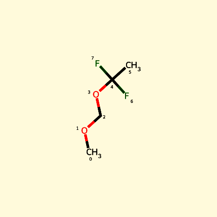 COCOC(C)(F)F